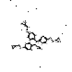 CC(c1ccc(OCC2CO2)cc1)C(c1ccc(OCC2CO2)cc1)c1ccc(OCC2CO2)cc1